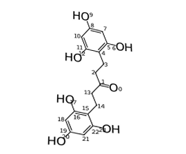 O=C(CCc1c(O)cc(O)cc1O)CCc1c(O)cc(O)cc1O